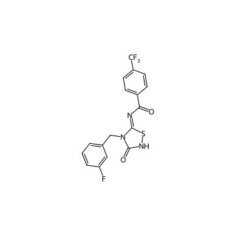 O=C(N=c1s[nH]c(=O)n1Cc1cccc(F)c1)c1ccc(C(F)(F)F)cc1